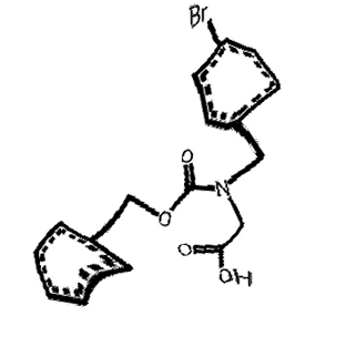 O=C(O)CN(Cc1ccc(Br)cc1)C(=O)OCc1ccccc1